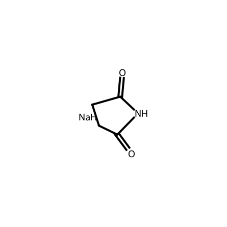 O=C1CCC(=O)N1.[NaH]